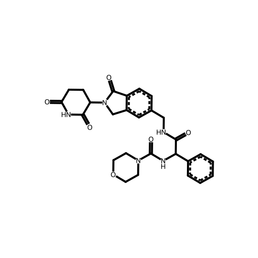 O=C1CCC(N2Cc3cc(CNC(=O)C(NC(=O)N4CCOCC4)c4ccccc4)ccc3C2=O)C(=O)N1